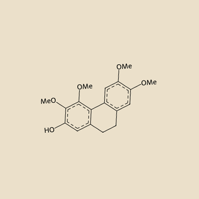 COc1cc2c(cc1OC)-c1c(cc(O)c(OC)c1OC)CC2